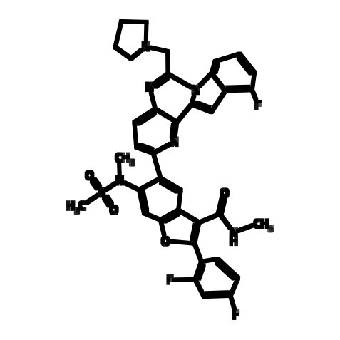 CNC(=O)c1c(-c2ccc(F)cc2F)oc2cc(N(C)S(C)(=O)=O)c(-c3ccc4nc(CN5CCCC5)n5c6cccc(F)c6cc5c4n3)cc12